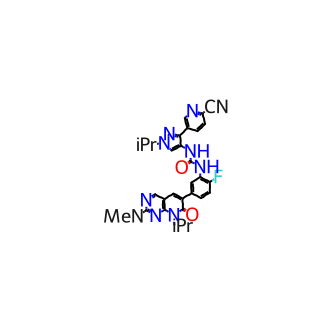 CNc1ncc2cc(-c3ccc(F)c(NC(=O)Nc4cn(C(C)C)nc4-c4ccc(C#N)nc4)c3)c(=O)n(C(C)C)c2n1